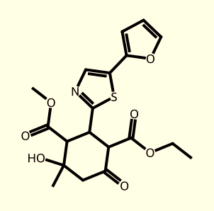 CCOC(=O)C1C(=O)CC(C)(O)C(C(=O)OC)C1c1ncc(-c2ccco2)s1